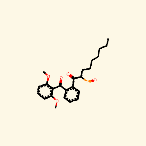 CCCCCCCC(P=O)C(=O)c1ccccc1C(=O)c1c(OC)cccc1OC